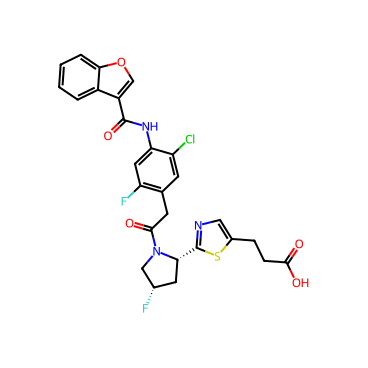 O=C(O)CCc1cnc([C@@H]2C[C@H](F)CN2C(=O)Cc2cc(Cl)c(NC(=O)c3coc4ccccc34)cc2F)s1